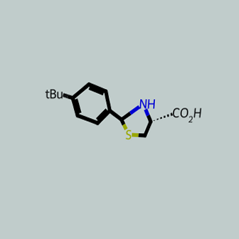 CC(C)(C)c1ccc(C2N[C@H](C(=O)O)CS2)cc1